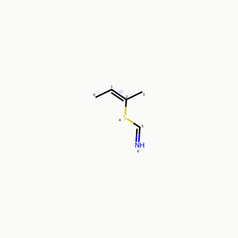 C/C=C(/C)SC=N